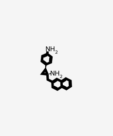 Nc1ccc([C@@H]2C[C@]2(N)Cc2ccc3ccccc3c2)cc1